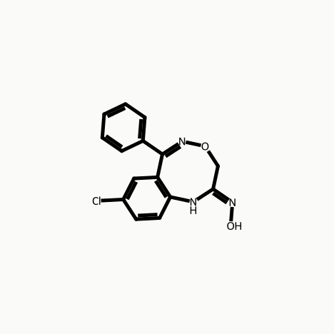 ON=C1CON=C(c2ccccc2)c2cc(Cl)ccc2N1